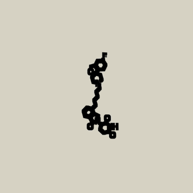 O=C1CCC(N2Cc3c(CCCCCN4CCC5(CC4)OCC4=C5CCC(F)=C4)cccc3C2=O)C(=O)N1